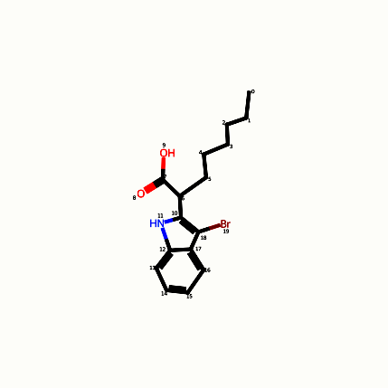 CCCCCCC(C(=O)O)c1[nH]c2ccccc2c1Br